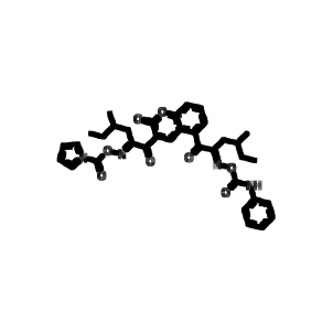 CCC(C)C/C(=N\OC(=O)n1cccc1)C(=O)c1cc2c(C(=O)/C(CC(C)CC)=N/OC(=O)Nc3ccccc3)cccc2oc1=O